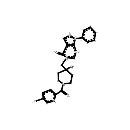 O=C(c1ccc(F)cn1)N1CCC(O)(Cn2cnc3c(cnn3-c3ccccc3)c2=O)CC1